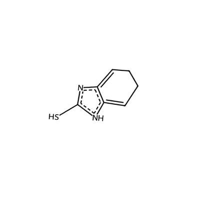 Sc1nc2c([nH]1)=CCCC=2